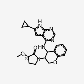 CO[C@@H]1CCN(C2COc3ccccc3C2Nc2ncnc3[nH]c(C4CC4)cc23)C1=O